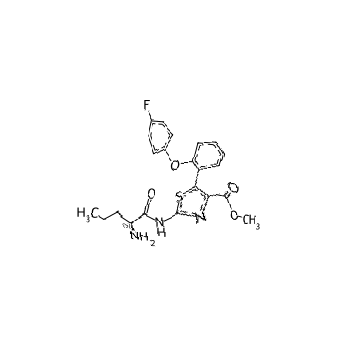 CCC[C@H](N)C(=O)Nc1nc(C(=O)OC)c(-c2ccccc2Oc2ccc(F)cc2)s1